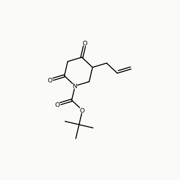 C=CCC1CN(C(=O)OC(C)(C)C)C(=O)CC1=O